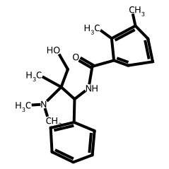 Cc1cccc(C(=O)NC(c2ccccc2)C(C)(CO)N(C)C)c1C